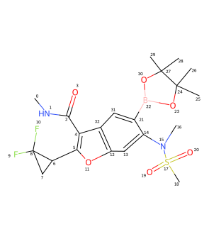 CNC(=O)c1c(C2CC2(F)F)oc2cc(N(C)S(C)(=O)=O)c(B3OC(C)(C)C(C)(C)O3)cc12